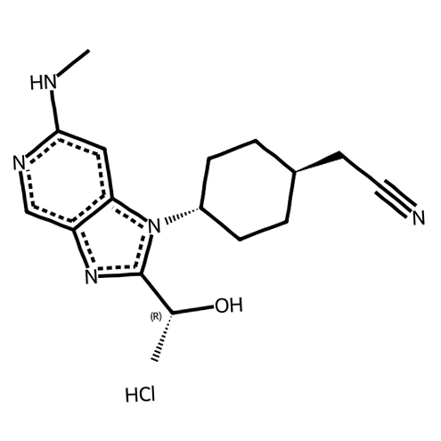 CNc1cc2c(cn1)nc([C@@H](C)O)n2[C@H]1CC[C@H](CC#N)CC1.Cl